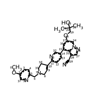 COc1ccc(CN2CC=C(c3ccc(-c4cc(OCC(C)(C)O)cn5ncc(C#N)c45)cn3)CC2)nc1